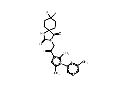 Cc1cncc(-n2c(C)cc(C(=O)CN3C(=O)NC4(CCC(F)(F)CC4)C3=O)c2C)n1